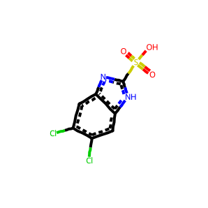 O=S(=O)(O)c1nc2cc(Cl)c(Cl)cc2[nH]1